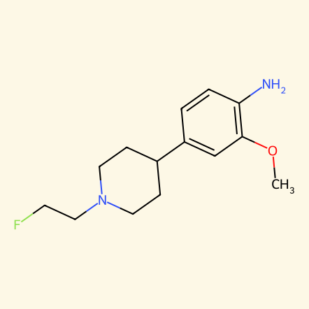 COc1cc(C2CCN(CCF)CC2)ccc1N